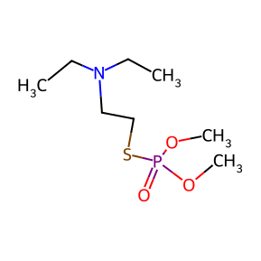 CCN(CC)CCSP(=O)(OC)OC